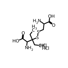 CCC(CC)(SSCC(N)C(=O)O)C(N)C(=O)O.Cl.Cl